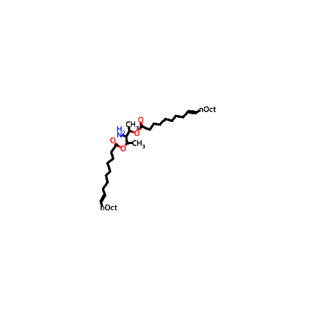 CCCCCCCCC=CCCCCCCCC(=O)OC(C)C(N)C(C)OC(=O)CCCCCCCC=CCCCCCCCC